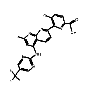 Cc1cc(Nc2ncc(C(F)(F)F)cn2)c2ccc(-c3nc(C(=O)O)ccc3Cl)nc2n1